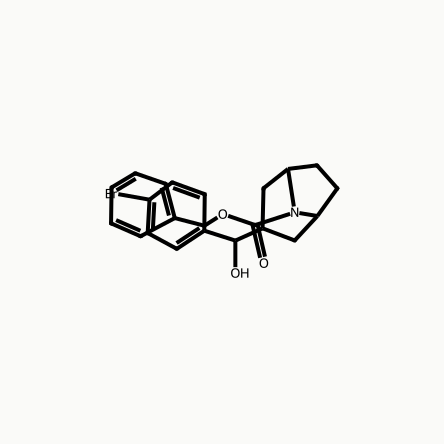 O=C(OCc1ccccc1)N1C2CCC1CC(C(O)c1ccc(Br)cc1)C2